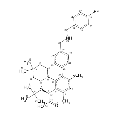 Cc1nc(C)c([C@H](OC(C)(C)C)C(=O)O)c(N2CCC(C)(C)CC2)c1-c1ccc(CNCc2ccc(F)cc2)cc1